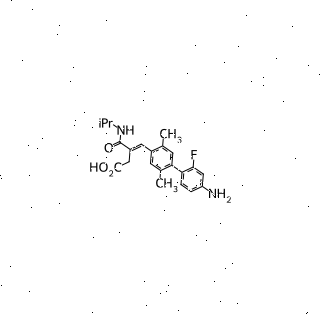 Cc1cc(-c2ccc(N)cc2F)c(C)cc1/C=C(\CC(=O)O)C(=O)NC(C)C